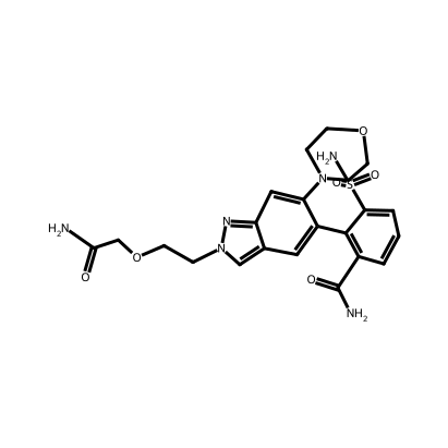 NC(=O)COCCn1cc2cc(-c3c(C(N)=O)cccc3S(N)(=O)=O)c(N3CCOCC3)cc2n1